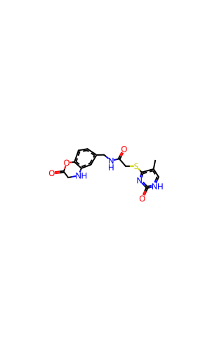 Cc1c[nH]c(=O)nc1SCC(=O)NCc1ccc2c(c1)NCC(=O)O2